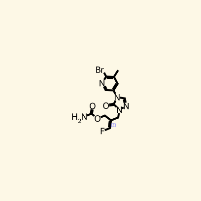 Cc1cc(-n2cnn(C/C(=C/F)COC(N)=O)c2=O)cnc1Br